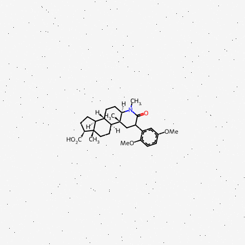 COc1ccc(OC)c(C2C[C@]3(C)[C@H]4CC[C@]5(C)[C@@H](C(=O)O)CC[C@H]5[C@@H]4CC[C@H]3N(C)C2=O)c1